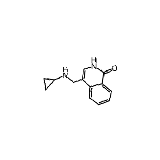 O=c1[nH]cc(CNC2CC2)c2ccccc12